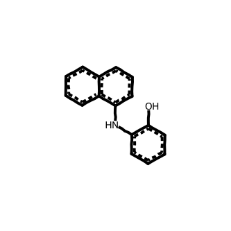 Oc1ccccc1Nc1cccc2ccccc12